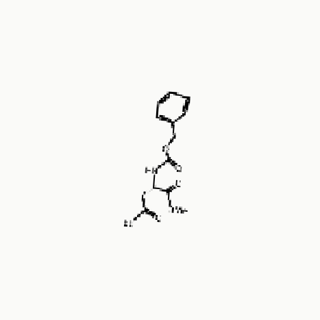 CCC(=O)C[C@H](NC(=O)OCc1ccccc1)C(=O)OC